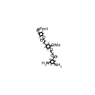 CCCCCOc1ccc(OC(=O)C=Cc2ccc(OCCOC(=O)c3cc(N)cc(N)c3)c(OC)c2)cc1